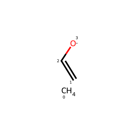 C.C=C[O]